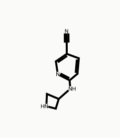 N#Cc1ccc(NC2CNC2)nc1